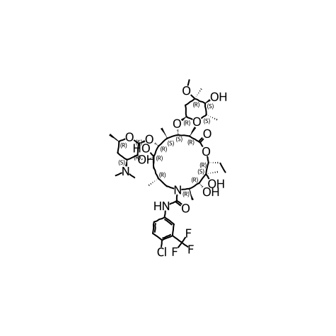 CC[C@H]1OC(=O)[C@H](C)[C@@H](O[C@H]2C[C@@](C)(OC)[C@@H](O)[C@H](C)O2)[C@H](C)[C@@H](O[C@@H]2O[C@H](C)C[C@H](N(C)C)[C@H]2O)[C@](C)(O)C[C@@H](C)CN(C(=O)Nc2ccc(Cl)c(C(F)(F)F)c2)[C@H](C)[C@@H](O)[C@]1(C)O